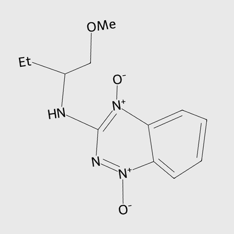 CCC(COC)Nc1n[n+]([O-])c2ccccc2[n+]1[O-]